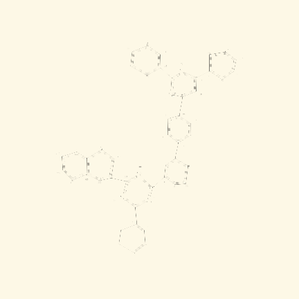 C1=CCCC(c2nc(-c3cccc(-c4ccc(-c5cc(-c6ccccc6)nc(-c6ccccc6)n5)cc4)c3)nc(-c3ccc4ccccc4c3)n2)=C1